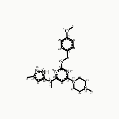 COc1ccc(CSc2nc(Nc3cc(C)n[nH]3)cc(N3CCN(C)CC3)n2)cc1